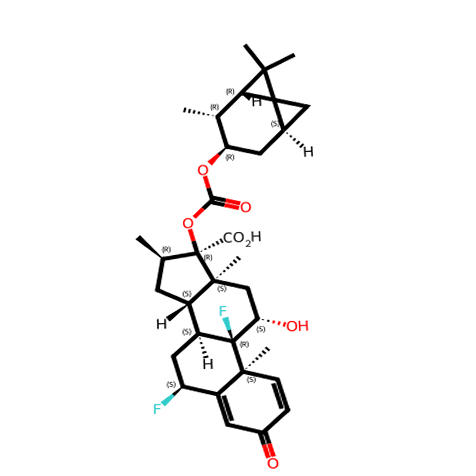 C[C@@H]1[C@@H]2C(C)(C)C23C[C@H]3C[C@H]1OC(=O)O[C@]1(C(=O)O)[C@H](C)C[C@H]2[C@@H]3C[C@H](F)C4=CC(=O)C=C[C@]4(C)[C@@]3(F)[C@@H](O)C[C@@]21C